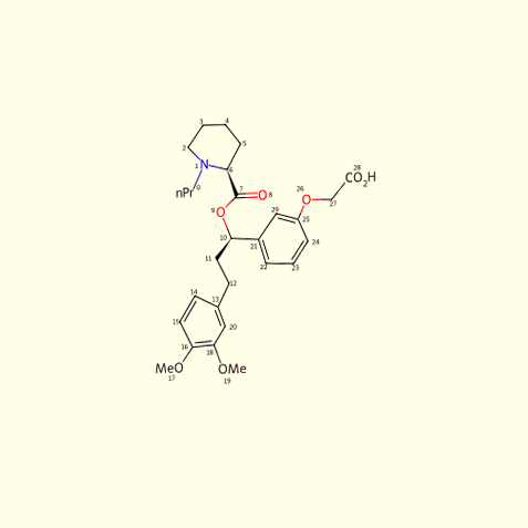 CCCN1CCCC[C@H]1C(=O)O[C@H](CCc1ccc(OC)c(OC)c1)c1cccc(OCC(=O)O)c1